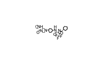 O=C(Nc1ccc(N2CCN(C(=O)[C@@H]3CCCN3)CC2)cc1)c1nc(-c2ccccc2)oc1C(F)(F)F